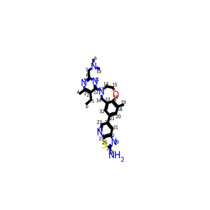 CCc1c(C)nc(CN(C)C)nc1N1CCOc2c(C)cc(-c3cnc4sc(N)nc4c3)cc2C1